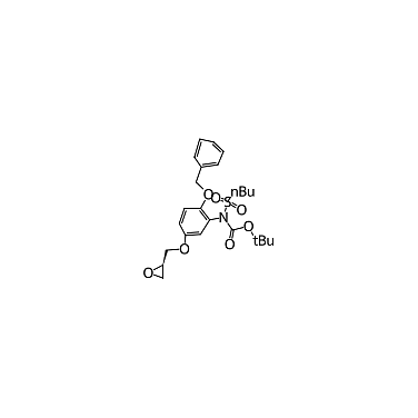 CCCCS(=O)(=O)N(C(=O)OC(C)(C)C)c1cc(OC[C@H]2CO2)ccc1OCc1ccccc1